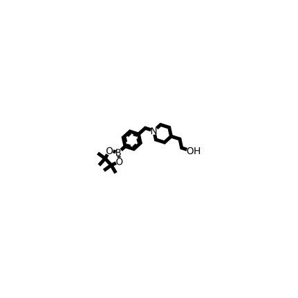 CC1(C)OB(c2ccc(CN3CCC(CCO)CC3)cc2)OC1(C)C